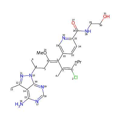 CCC/C(Cl)=C(C)\C(=C(/CC(C)n1nc(C)c2c(N)ncnc21)OC)c1ccc(C(=O)NCCO)nc1